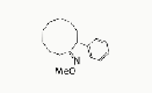 CON=C1CCCCCCCCC1c1ccccc1